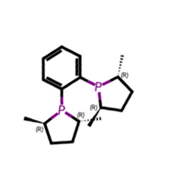 C[C@@H]1CC[C@@H](C)P1c1ccccc1P1[C@H](C)CC[C@H]1C